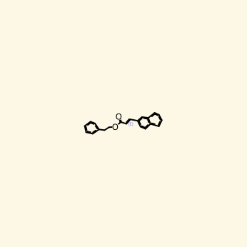 O=C(/C=C/c1ccc2ccccc2c1)OCCc1ccccc1